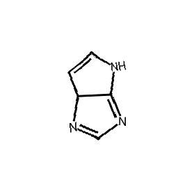 C1=CC2N=CN=C2N1